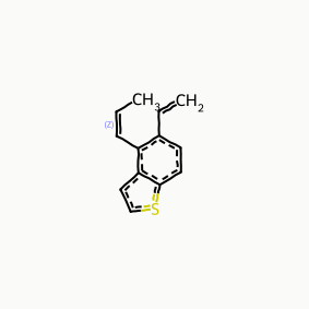 C=Cc1ccc2sccc2c1/C=C\C